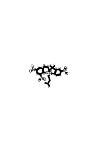 CC(C)CCN1c2ccc([N+](=O)[O-])cc2C(C)(C)C12C=Cc1cc([N+](=O)[O-])cc([N+](=O)[O-])c1O2